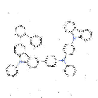 c1ccc(-c2ccccc2-c2ccc3c(c2)c2cc(-c4ccc(N(c5ccccc5)c5ccc(-n6c7ccccc7c7ccccc76)cc5)cc4)ccc2n3-c2ccccc2)cc1